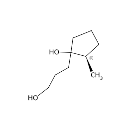 C[C@@H]1CCCC1(O)CCCO